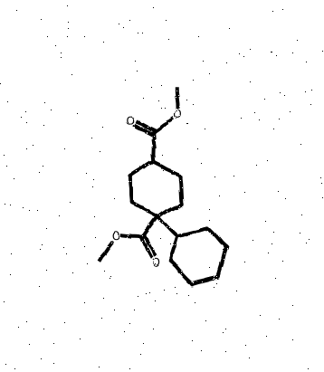 COC(=O)C1CCC(C(=O)OC)(C2CCCCC2)CC1